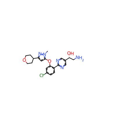 Cn1nc(C2CCOCC2)cc1Oc1cc(Cl)ccc1-c1ncc([C@H](O)CN)cn1